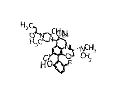 C=CC(=O)N1C[C@H](C)N(C2=C(C#N)CN3c4c2cc(Cl)c(-c2c(O)cccc2F)c4OC[C@H]3CN(C)C)C[C@H]1C